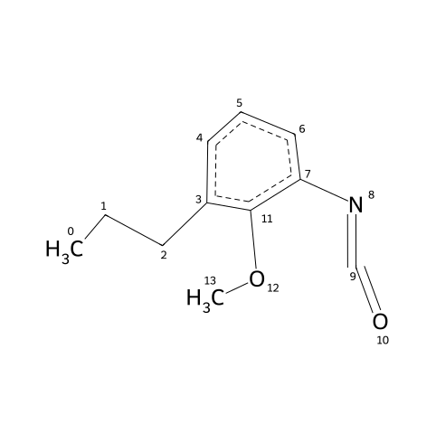 CCCc1cccc(N=C=O)c1OC